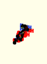 Cc1ncsc1-c1ccc([C@H](C)NC(=O)[C@@H]2C[C@@H](O)CN2C(=O)C(NC(=O)CCCCCNC(=O)COc2ccc3c(c2)CN(C(=O)C(NC(=O)c2cc4cc(C(F)(F)P(=O)(O)O)ccc4s2)C(C)(C)C)C(C(=O)N2CCOC(c4ccccc4)C2)C3)C(C)(C)C)cc1